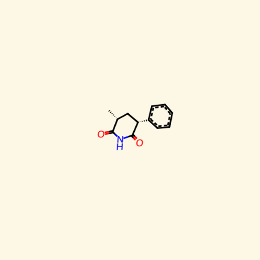 C[C@@H]1C[C@H](c2ccccc2)C(=O)NC1=O